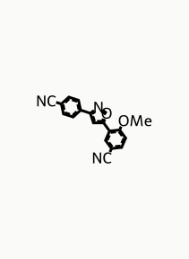 COc1ccc(C#N)cc1-c1cc(-c2ccc(C#N)cc2)no1